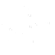 Cc1cccc(C)c1-c1cc2nc(n1)NS(=O)(=O)c1cccc(c1)C(=O)NC(C1CCCCC1)(C1CC1)O2